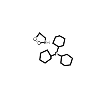 B1CCOO1.C1CCC(P(C2CCCCC2)C2CCCCC2)CC1